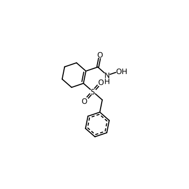 O=C(NO)C1=C(S(=O)(=O)Cc2ccccc2)CCCC1